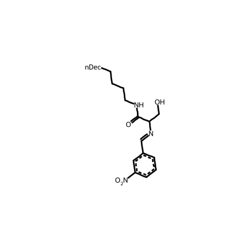 CCCCCCCCCCCCCCNC(=O)C(CO)N=Cc1cccc([N+](=O)[O-])c1